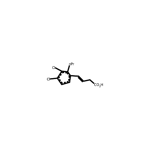 CCCc1c(/C=C/CC(=O)O)ccc(Cl)c1Cl